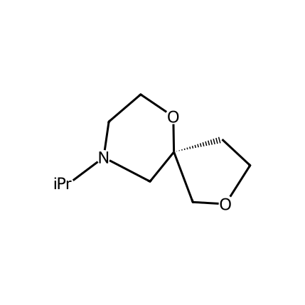 CC(C)N1CCO[C@]2(CCOC2)C1